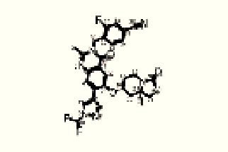 Cc1nc2cc(-c3cnn(C(F)F)c3)c(O[C@H]3CCN4C(=O)OC[C@@H]4C3)cc2c(=O)n1Cc1ccc(C#N)cc1F